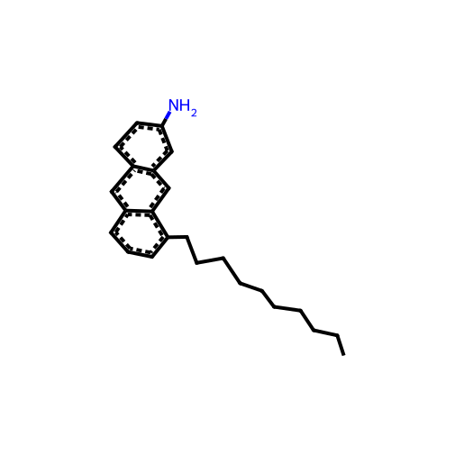 CCCCCCCCCCc1cccc2cc3ccc(N)cc3cc12